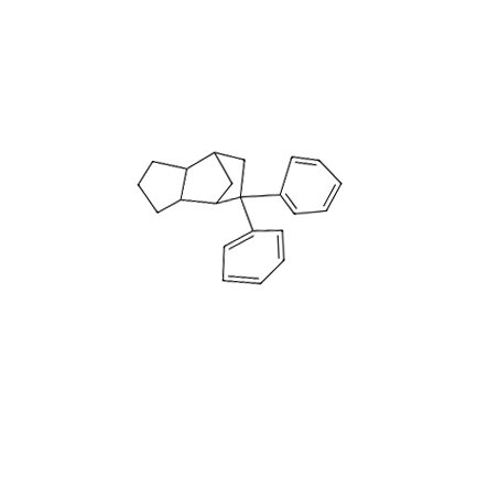 c1ccc(C2(c3ccccc3)CC3CC2C2CCCC32)cc1